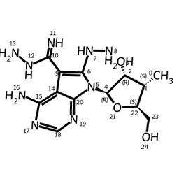 C[C@H]1[C@@H](O)[C@H](n2c(NN)c(C(=N)NN)c3c(N)ncnc32)O[C@@H]1CO